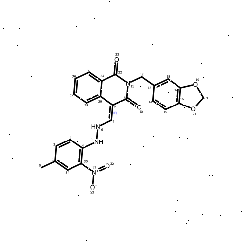 Cc1ccc(NN/C=C2/C(=O)N(Cc3ccc4c(c3)OCO4)C(=O)c3ccccc32)c([N+](=O)[O-])c1